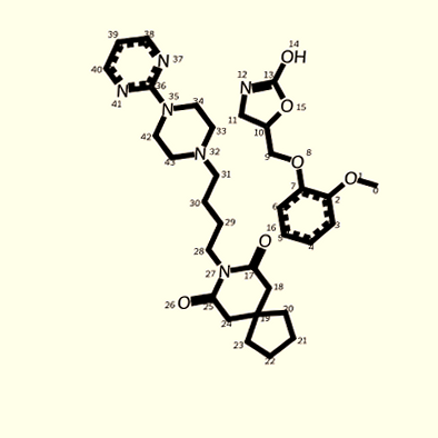 COc1ccccc1OCC1CN=C(O)O1.O=C1CC2(CCCC2)CC(=O)N1CCCCN1CCN(c2ncccn2)CC1